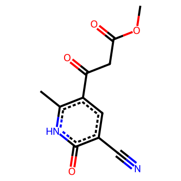 COC(=O)CC(=O)c1cc(C#N)c(=O)[nH]c1C